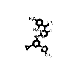 C/C=C(\c1ccc(C)cc1C)c1nc(Nc2cc(C3CC3)cc(N3CCC(C)C3)c2)ncc1Cl